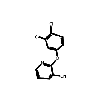 N#Cc1cccnc1Oc1ccc(Cl)c(Cl)c1